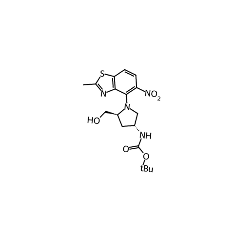 Cc1nc2c(N3C[C@H](NC(=O)OC(C)(C)C)C[C@H]3CO)c([N+](=O)[O-])ccc2s1